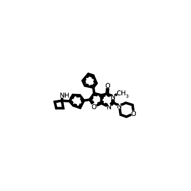 Cn1c(N2CCOCC2)nc2oc(-c3ccc(C4(N)CCC4)cc3)c(-c3ccccc3)c2c1=O